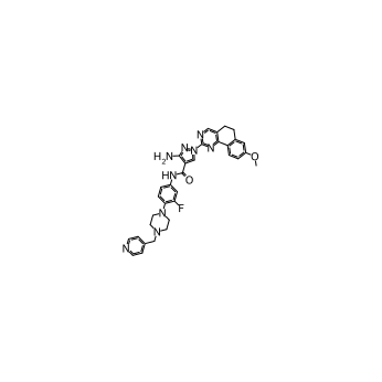 COc1ccc2c(c1)CCc1cnc(-n3cc(C(=O)Nc4ccc(N5CCN(Cc6ccncc6)CC5)c(F)c4)c(N)n3)nc1-2